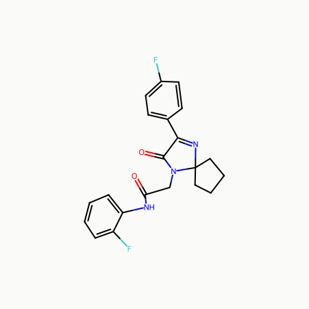 O=C(CN1C(=O)C(c2ccc(F)cc2)=NC12CCCC2)Nc1ccccc1F